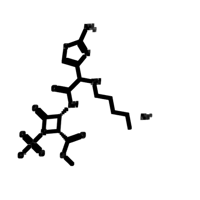 CCCCCNC(C(=O)N[C@H]1C(=O)N(S(=O)(=O)[O-])[C@H]1C(=O)OC)c1csc(N)n1.[Na+]